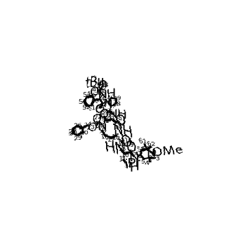 CON1C(C)(C)CC(NC(=O)[C@H](CC(C)C)NC(=O)[C@@H]2CCCN(C(=O)OCc3ccccc3)C(C)[C@H](NC(=O)[C@@H]3CCCN3C(=O)[C@H](NC(=O)OC(C)(C)C)c3ccccc3)C(=O)N2)CC1(C)C